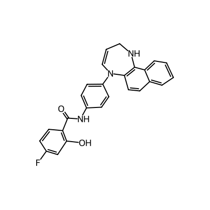 O=C(Nc1ccc(N2C=CCNc3c2ccc2ccccc32)cc1)c1ccc(F)cc1O